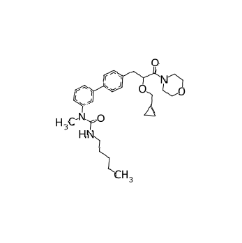 CCCCCNC(=O)N(C)c1cccc(-c2ccc(CC(OCC3CC3)C(=O)N3CCOCC3)cc2)c1